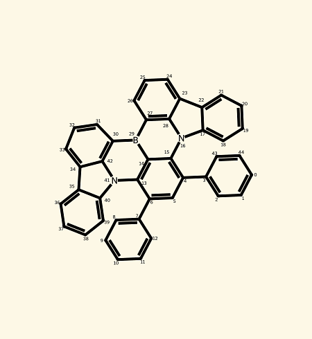 c1ccc(-c2cc(-c3ccccc3)c3c4c2-n2c5ccccc5c5cccc(c52)B4c2cccc4c5ccccc5n-3c24)cc1